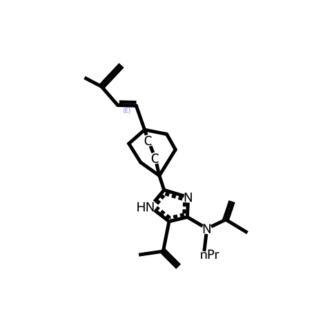 C=C(C)/C=C/C12CCC(c3nc(N(CCC)C(=C)C)c(C(=C)C)[nH]3)(CC1)CC2